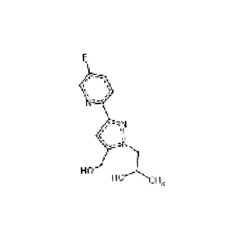 CC(O)Cn1nc(-c2ccc(F)cn2)cc1CO